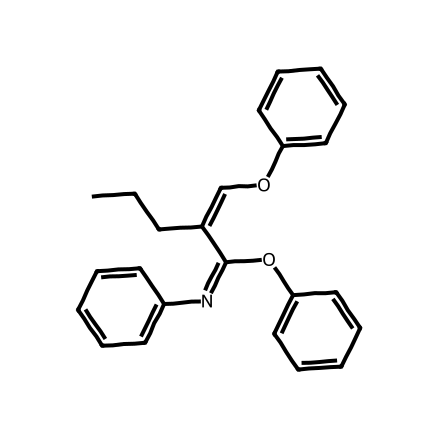 CCCC(=COc1ccccc1)C(=Nc1ccccc1)Oc1ccccc1